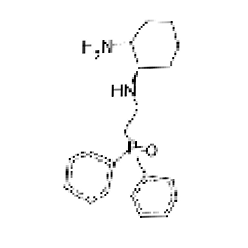 N[C@@H]1CCCC[C@H]1NCCP(=O)(c1ccccc1)c1ccccc1